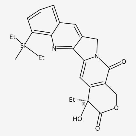 CC[C@@]1(O)C(=O)OCc2c1cc1n(c2=O)Cc2cc3cccc([Si](C)(CC)CC)c3nc2-1